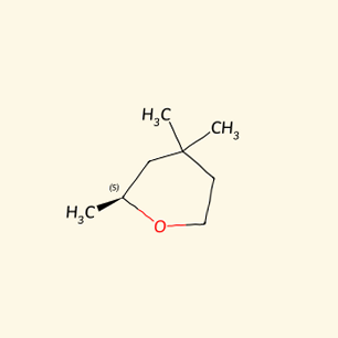 C[C@H]1CC(C)(C)CCO1